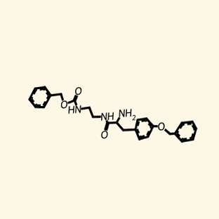 NC(Cc1ccc(OCc2ccccc2)cc1)C(=O)NCCNC(=O)OCc1ccccc1